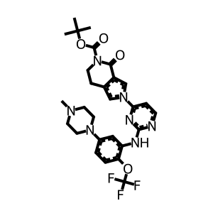 CN1CCN(c2ccc(OC(F)(F)F)c(Nc3nccc(-n4cc5c(c4)C(=O)N(C(=O)OC(C)(C)C)CC5)n3)c2)CC1